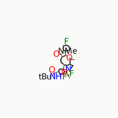 CNC(=O)c1ccc(-c2cccc(C(=O)NC(C)(C)C)c2)c2c(ccn2C(=O)C(C)(F)F)c(C)oc1-c1ccc(F)cc1